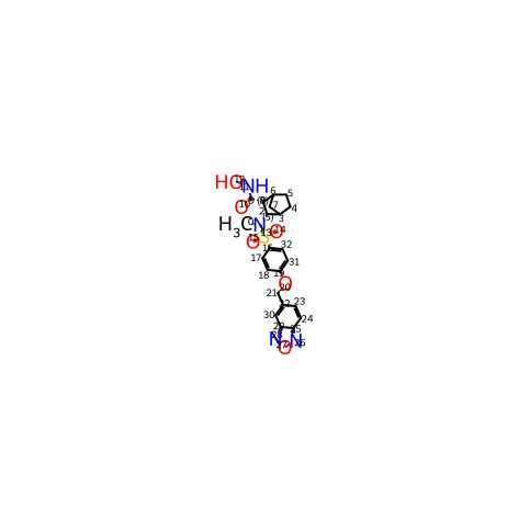 CN([C@H]1C2CCC(C2)[C@H]1C(=O)NO)S(=O)(=O)c1ccc(OCc2ccc3nonc3c2)cc1